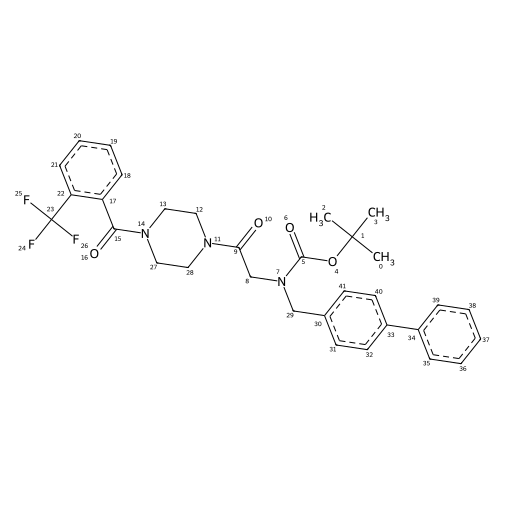 CC(C)(C)OC(=O)N(CC(=O)N1CCN(C(=O)c2ccccc2C(F)(F)F)CC1)Cc1ccc(-c2ccccc2)cc1